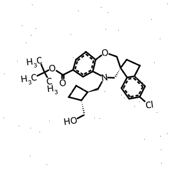 CC(C)(C)OC(=O)c1ccc2c(c1)N(C[C@@H]1CC[C@H]1CO)C[C@@]1(CCc3cc(Cl)ccc31)CO2